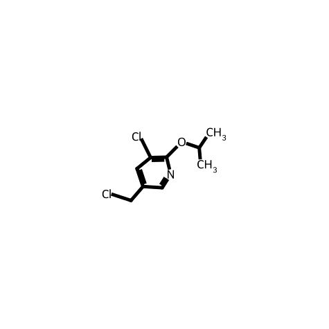 CC(C)Oc1ncc(CCl)cc1Cl